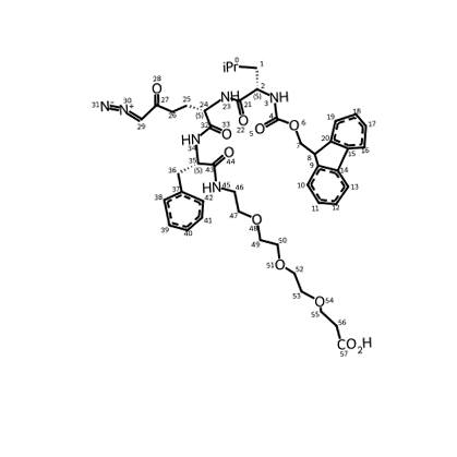 CC(C)C[C@H](NC(=O)OCC1c2ccccc2-c2ccccc21)C(=O)N[C@@H](CCC(=O)C=[N+]=[N-])C(=O)N[C@@H](Cc1ccccc1)C(=O)NCCOCCOCCOCCC(=O)O